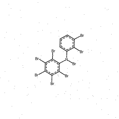 Brc1cccc(N(Br)c2c(Br)c(Br)c(Br)c(Br)c2Br)c1Br